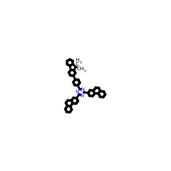 CC1(C)c2ccccc2-c2ccc(-c3ccc(-c4nc(-c5ccc6c(ccc7ccccc76)c5)nc(-c5ccc6c(ccc7ccccc76)c5)n4)cc3)cc21